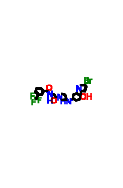 O=C(NCC(=O)N1CC[C@H](NC2CCC(O)(c3ccc(Br)cn3)CC2)C1)c1cccc(C(F)(F)F)c1